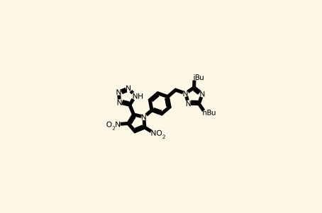 CCCCc1nc(C(C)CC)n(Cc2ccc(-n3c([N+](=O)[O-])cc([N+](=O)[O-])c3-c3nnn[nH]3)cc2)n1